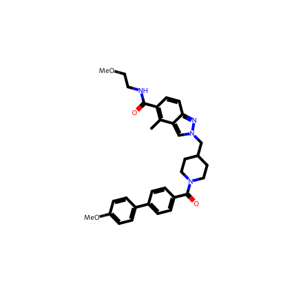 COCCNC(=O)c1ccc2nn(CC3CCN(C(=O)c4ccc(-c5ccc(OC)cc5)cc4)CC3)cc2c1C